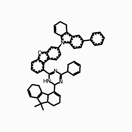 CC1(C)C2=C(CCC=C2)C2C(C3N=C(C4C=CC=CC4)N=C(c4cccc5oc6cc(-n7c8c(c9cc(-c%10ccccc%10)ccc97)CCC=C8)ccc6c45)N3)=CCCC21